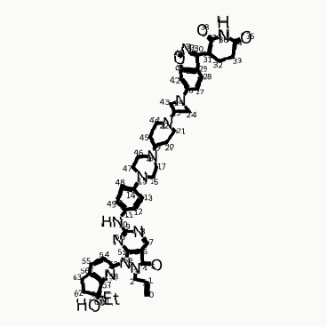 C=CCn1c(=O)c2cnc(Nc3ccc(N4CCN(C5CCN(C6CN(c7ccc8c(C9CCC(=O)NC9=O)noc8c7)C6)CC5)CC4)cc3)nc2n1-c1ccc2c(n1)[C@@](O)(CC)CC2